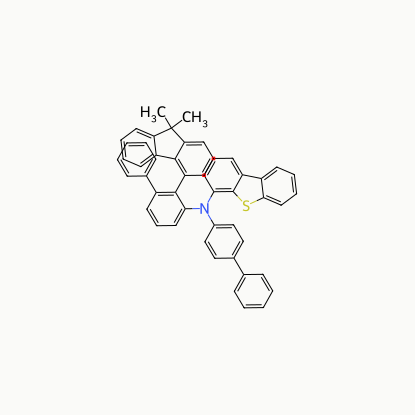 CC1(C)c2ccccc2-c2c(-c3c(-c4ccccc4)cccc3N(c3ccc(-c4ccccc4)cc3)c3cccc4c3sc3ccccc34)cccc21